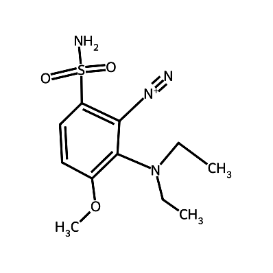 CCN(CC)c1c(OC)ccc(S(N)(=O)=O)c1[N+]#N